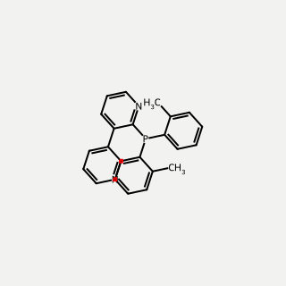 Cc1ccccc1P(c1ccccc1C)c1ncccc1-c1cccnc1